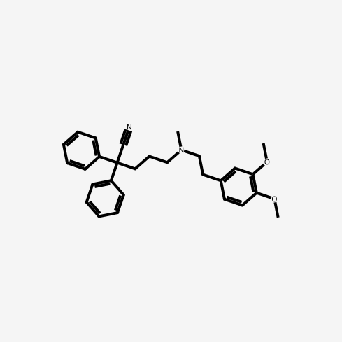 COc1ccc(CCN(C)CCCC(C#N)(c2ccccc2)c2ccccc2)cc1OC